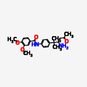 COc1ccc(C(=O)Nc2ccc(C(C)(C)C(N)CC(C)=O)cc2)cc1OC